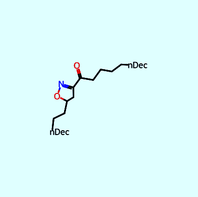 CCCCCCCCCCCCCCC(=O)C1=NOC(CCCCCCCCCCCC)C1